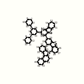 c1ccc(-c2cc(-c3ccccc3)cc(-c3nc(-c4ccc5c(c4)sc4cccc(-n6c7ccccc7c7c8ccccc8ccc76)c45)c4sc5ccccc5c4n3)c2)cc1